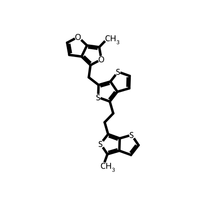 Cc1sc(CCc2sc(Cc3oc(C)c4occc34)c3sccc23)c2sccc12